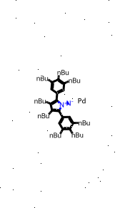 CCCCC1=C(c2cc(CCCC)c(CCCC)c(CCCC)c2)[N+](=[N-])C(c2cc(CCCC)c(CCCC)c(CCCC)c2)=C1CCCC.[Pd]